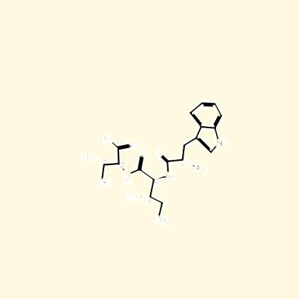 CC[C@H](C)[C@H](NC(=O)[C@@H](N)Cc1c[nH]c2ccccc12)C(=O)N[C@H](C(=O)O)[C@@H](C)O